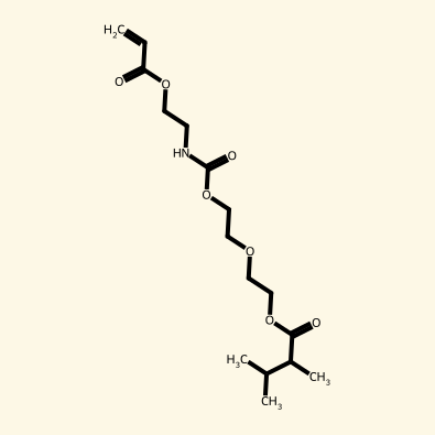 C=CC(=O)OCCNC(=O)OCCOCCOC(=O)C(C)C(C)C